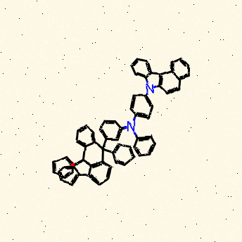 c1ccc(N(c2ccc(-n3c4ccccc4c4c5ccccc5ccc43)cc2)c2cccc(C3(c4ccccc4)c4ccccc4C4(c5ccccc5)c5ccccc5-c5cccc3c54)c2)cc1